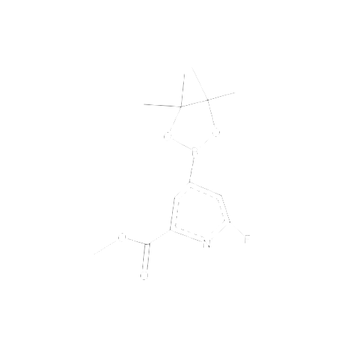 COC(=O)c1cc(B2OC(C)(C)C(C)(C)O2)cc(F)n1